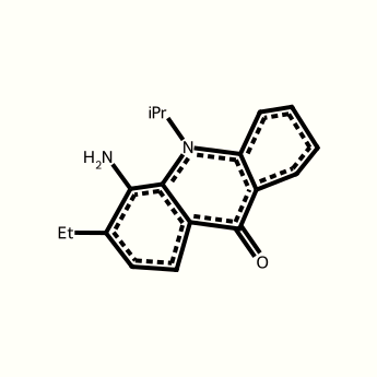 CCc1ccc2c(=O)c3ccccc3n(C(C)C)c2c1N